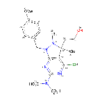 COc1ccc(CN2c3nc(N(C(=O)O)C(=O)O)nc(Cl)c3C(CCO)(C(C)(C)C)N2C(C)(C)C)cc1